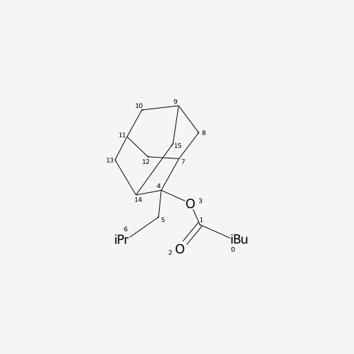 CCC(C)C(=O)OC1(CC(C)C)C2CC3CC(C2)CC1C3